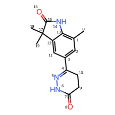 Cc1cc(C2=NNC(=O)CC2)cc2c1NC(=O)C2(C)C